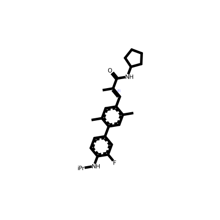 C/C(=C\c1cc(C)c(-c2ccc(NC(C)C)c(F)c2)cc1C)C(=O)NC1CCCC1